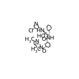 Cc1csc(CN(C)C(=O)c2cccc(C(=O)N[C@@H](Cc3ccccc3)[C@H](O)CNCc3cncc(Cl)c3)c2)n1